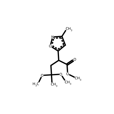 COC(=O)C(CC(C)(OC)OC)c1cc(C)no1